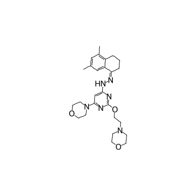 Cc1cc(C)c2c(c1)/C(=N\Nc1cc(N3CCOCC3)nc(OCCN3CCOCC3)n1)CCC2